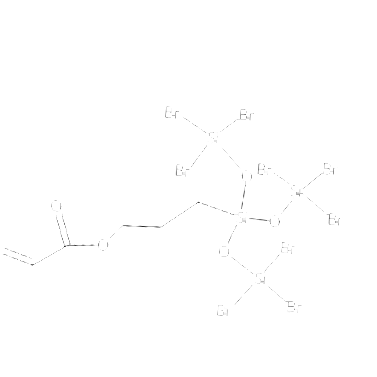 C=CC(=O)OCCC[Si](O[Si](Br)(Br)Br)(O[Si](Br)(Br)Br)O[Si](Br)(Br)Br